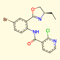 CC[C@@H]1COC(c2cc(Br)ccc2NC(=O)c2cccnc2Cl)=N1